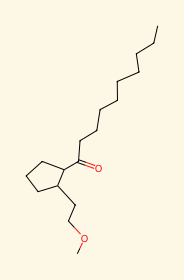 CCCCCCCCCC(=O)C1CCCC1CCOC